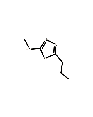 CCCc1nnc(NC)s1